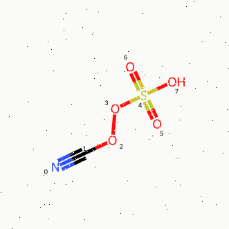 N#COOS(=O)(=O)O